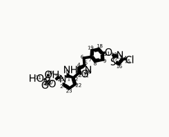 NC1C(c2cc(Cc3ccc(Oc4nc(Cl)cs4)cc3)no2)=CC=CN1COP(=O)(O)O